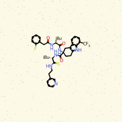 CCC(C)[C@H](NC(=O)Cc1ccccc1F)C(=O)N[C@]1(C(=O)N[C@H](C(=S)NCCc2cccnc2)C(C)CC)CCc2[nH]c3c(C(F)(F)F)cccc3c2C1